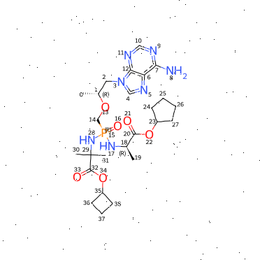 C[C@H](Cn1cnc2c(N)ncnc21)OC[P@@](=O)(N[C@H](C)C(=O)OC1CCCC1)NC(C)(C)C(=O)OC1CCC1